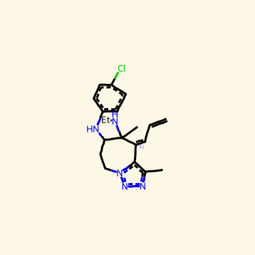 C=C/C=C1/c2c(C)nnn2CCC(Nc2ccc(Cl)cc2)C1(C)NCC